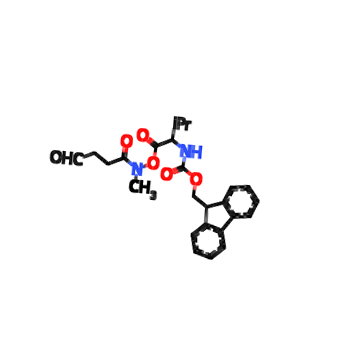 CC(C)C(NC(=O)OCC1c2ccccc2-c2ccccc21)C(=O)ON(C)C(=O)CCC=O